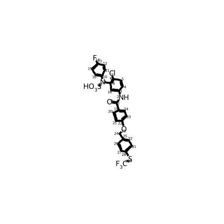 O=C(Nc1ccc(Cl)c(N(c2ccc(F)cc2)S(=O)(=O)O)c1)c1ccc(OCc2ccc(SC(F)(F)F)cc2)cc1